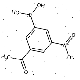 CC(=O)c1cc(B(O)O)cc([N+](=O)[O-])c1